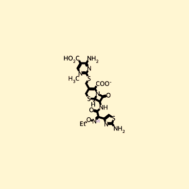 CCO/N=C(\C(=O)NC1C(=O)N2C(C(=O)[O-])=C(CSc3nc(N)c(C(=O)O)c[n+]3C)CS[C@H]12)c1csc(N)n1